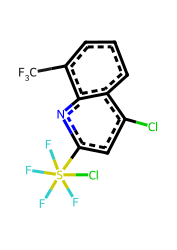 FC(F)(F)c1cccc2c(Cl)cc(S(F)(F)(F)(F)Cl)nc12